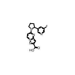 O=C(O)c1cc2nc(N3CCCC3c3cncc(F)c3)ccn2n1